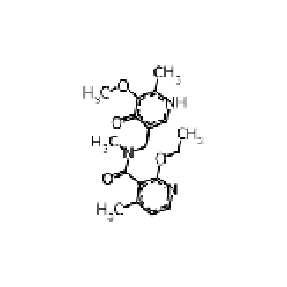 CCOc1nccc(C)c1C(=O)N(C)Cc1c[nH]c(C)c(OC)c1=O